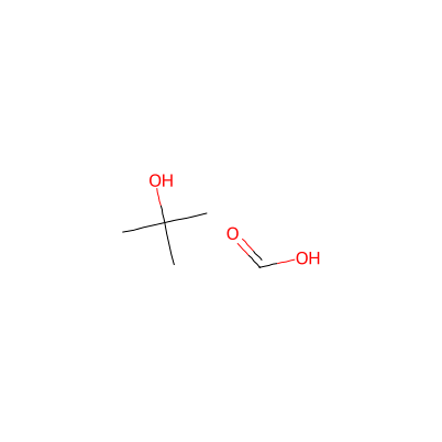 CC(C)(C)O.O=CO